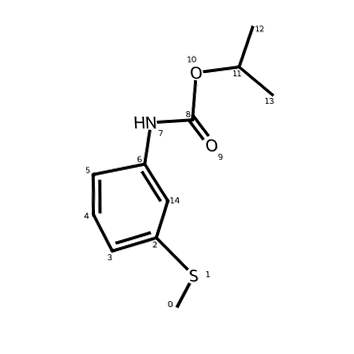 CSc1cccc(NC(=O)OC(C)C)c1